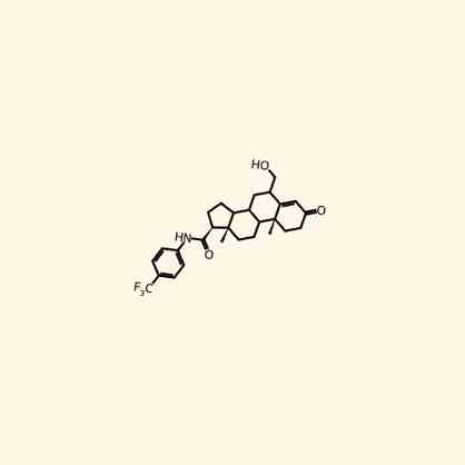 C[C@]12CCC(=O)C=C1C(CO)CC1C2CC[C@@]2(C)C1CC[C@@H]2C(=O)Nc1ccc(C(F)(F)F)cc1